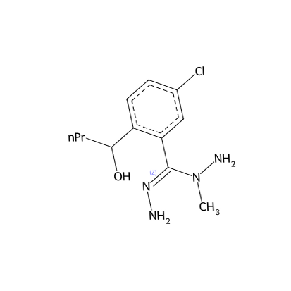 CCCC(O)c1ccc(Cl)cc1/C(=N/N)N(C)N